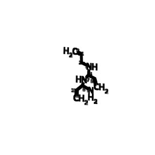 C=C[CH]NC(C=C)NC(N)C=C